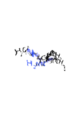 C=C/C=N/N=C\C=C(C)\C(N)=N/C(C=C)=C/CC